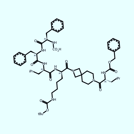 CC(C)C[C@@H](NC(=O)[C@@H](Cc1ccccc1)NC(=O)[C@@H](Cc1ccccc1)NC(=O)O)C(=O)N[C@H](CCCCNC(=O)OC(C)(C)C)C(=O)N1CC2(CCN(C(=O)[C@@H](CC(C)C)NC(=O)OCc3ccccc3)CC2)C1